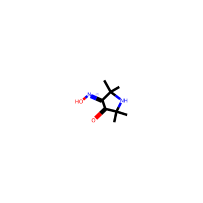 CC1(C)NC(C)(C)/C(=N/O)C1=O